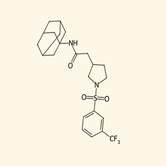 O=C(CC1CCN(S(=O)(=O)c2cccc(C(F)(F)F)c2)C1)NC12CC3CC(CC(C3)C1)C2